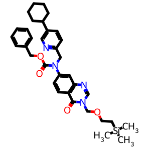 C[Si](C)(C)CCOCn1cnc2cc(N(Cc3ccc(C4CCCCC4)cn3)C(=O)OCc3ccccc3)ccc2c1=O